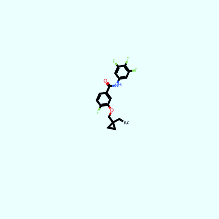 CC(=O)CC1(COc2cc(C(=O)Nc3cc(F)c(F)c(F)c3)ccc2F)CC1